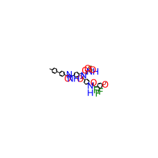 COc1ccc(CC(=O)Nc2ccc(C(=O)N(CC(=O)NS(C)(=O)=O)Cc3ccc(C4N=C(c5ccc(-c6ccc(C)cc6)cc5)ON4)cc3)cc2)c(C(F)(F)F)c1